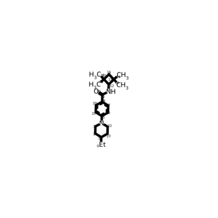 CCC1CCN(c2ccc(C(=O)NC3C(C)(C)CC3(C)C)cc2)CC1